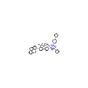 CC1(C)c2cc(-c3nc(-c4ccccc4)nc(-c4ccc(-c5ccccc5)cc4)n3)ccc2-c2ccc(-c3ccc4ccc5cccc6ccc3c4c56)cc21